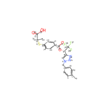 Cc1ccc(Cn2cc([C@H](OC(=O)c3ccc(SC(C)(C)C(=O)O)cc3)C(F)(F)F)nn2)cc1